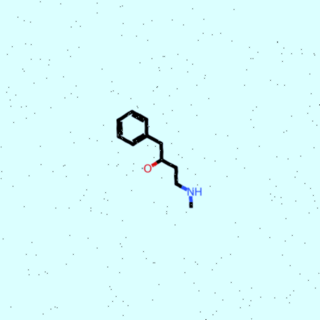 CNCCC([O])Cc1ccccc1